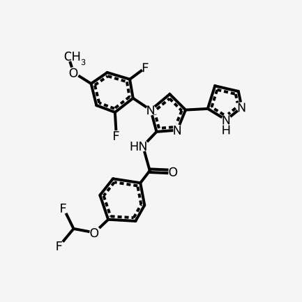 COc1cc(F)c(-n2cc(-c3ccn[nH]3)nc2NC(=O)c2ccc(OC(F)F)cc2)c(F)c1